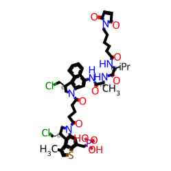 Cc1csc2c(CP(=O)(O)O)cc3c(c12)[C@H](CCl)CN3C(=O)CCCC(=O)N1C[C@@H](CCl)c2c1cc(NC(=O)[C@H](C)NC(=O)[C@@H](NC(=O)CCCCCN1C(=O)C=CC1=O)C(C)C)c1ccccc21